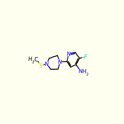 CSN1CCN(c2cc(N)c(F)cn2)CC1